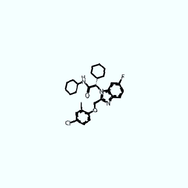 Cc1cc(Cl)ccc1OCc1nc2ccc(F)cc2n1[C@H](C(=O)NC1CCCCC1)C1CCCCC1